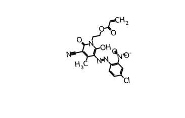 C=CC(=O)OCCn1c(O)c(N=Nc2ccc(Cl)cc2[N+](=O)[O-])c(C)c(C#N)c1=O